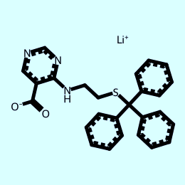 O=C([O-])c1cncnc1NCCSC(c1ccccc1)(c1ccccc1)c1ccccc1.[Li+]